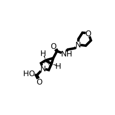 O=C(NCCN1CCOCC1)C1[C@H]2CN(C(=O)O)C[C@@H]12